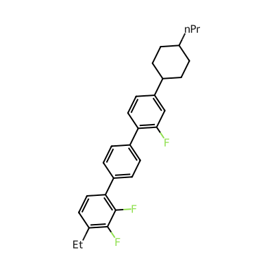 CCCC1CCC(c2ccc(-c3ccc(-c4ccc(CC)c(F)c4F)cc3)c(F)c2)CC1